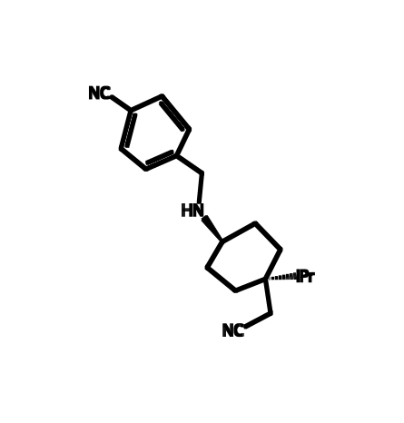 CC(C)[C@]1(CC#N)CC[C@@H](NCc2ccc(C#N)cc2)CC1